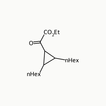 CCCCCCC1C(CCCCCC)C1C(=O)C(=O)OCC